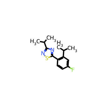 CC(C)c1nsc(-c2ccc(F)cc2C(C)C)n1